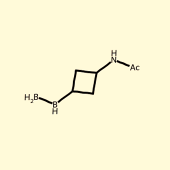 BBC1CC(NC(C)=O)C1